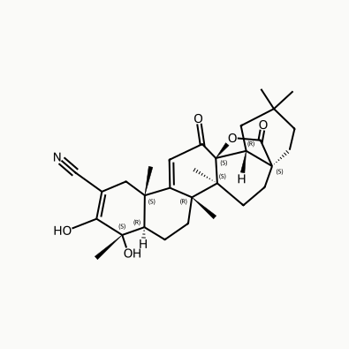 CC1(C)CC[C@@]23CC[C@@]4(C)[C@]5(C)CC[C@H]6[C@](C)(O)C(O)=C(C#N)C[C@]6(C)C5=CC(=O)[C@]4(OC2=O)[C@@H]3C1